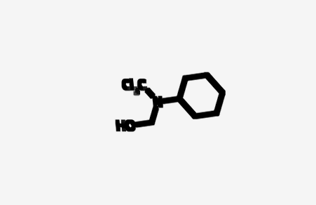 OCN(C1CCCCC1)C(Cl)(Cl)Cl